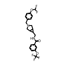 O=C(NCC1C2CN(Cc3ccc(OC(F)F)cc3)CC12)c1cccc(OC(F)(F)F)c1